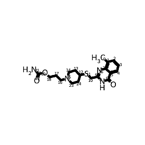 Cc1cccc2c(=O)[nH]c(CSC3CCN(CCCOC(N)=O)CC3)nc12